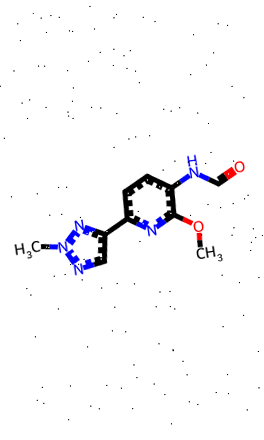 COc1nc(-c2cnn(C)n2)ccc1NC=O